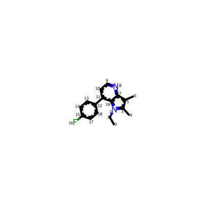 CCn1c(C)c(C)c2nccc(-c3ccc(F)cc3)c21